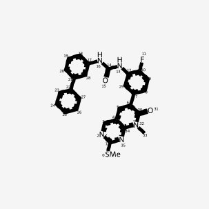 CSc1ncc2cc(-c3ccc(F)c(NC(=O)Nc4cccc(-c5ccccc5)c4)c3)c(=O)n(C)c2n1